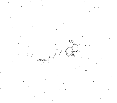 CC(=O)N(OC(=O)CCCCCN=[N+]=[N-])C(C)=O